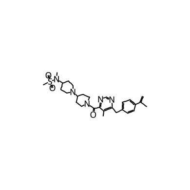 C=C(C)c1ccc(Cc2ncnc(C(=O)N3CCC(N4CCC(N(C)S(C)(=O)=O)CC4)CC3)c2C)cc1